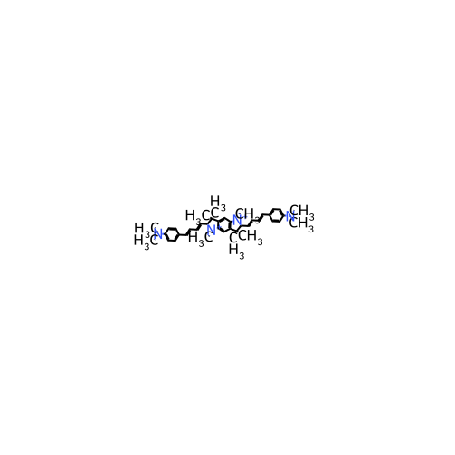 CN(C)c1ccc(C=CC=CC2=[N+](C)c3cc4c(cc3C2(C)C)[N+](C)=C(C=CC=Cc2ccc(N(C)C)cc2)C4(C)C)cc1